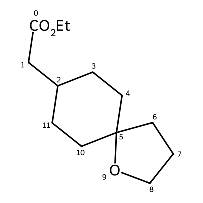 CCOC(=O)CC1CCC2(CCCO2)CC1